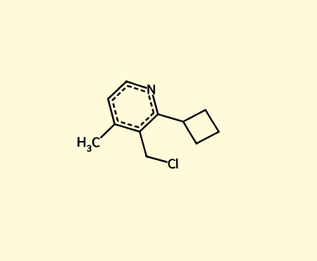 Cc1ccnc(C2CCC2)c1CCl